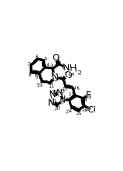 NC(=O)C1c2ccccc2CCN1C(=O)/C=C/c1c(-n2cnnn2)ccc(Cl)c1F